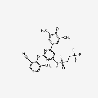 Cc1cccc(C#N)c1Oc1nc(NS(=O)(=O)CCC(F)(F)F)cc(-c2cc(C)c(=O)n(C)c2)n1